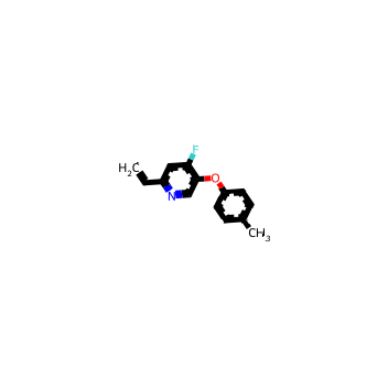 C=Cc1cc(F)c(Oc2ccc(C)cc2)cn1